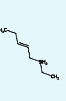 CCC=CC[SiH2]CC